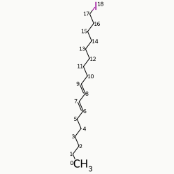 CCCCCCC=CC=CCCCCCCCCI